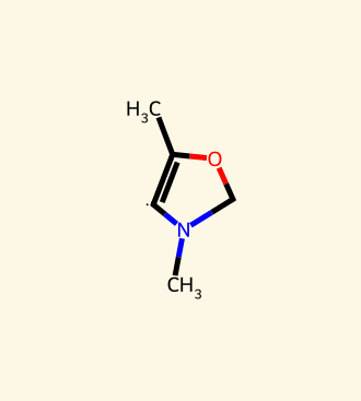 CC1=[C]N(C)CO1